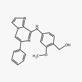 COc1cc(Nc2nc(-c3ccccc3)cn3ccnc23)ccc1CO